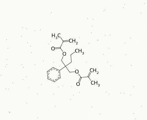 C=C(C)C(=O)OCC(CCC)(COC(=O)C(=C)C)c1ccccc1